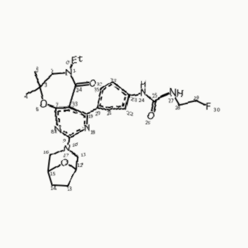 CCN1CC(C)(C)Oc2nc(N3CC4CCC(C3)O4)nc(-c3ccc(NC(=O)NCCF)cc3)c2C1=O